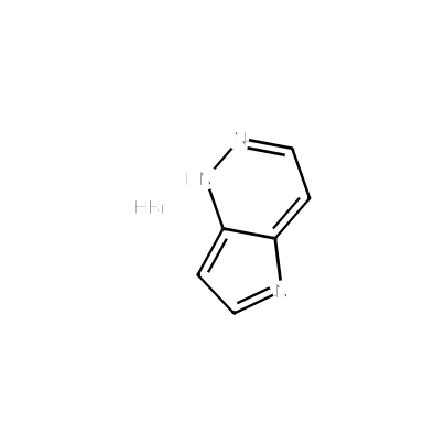 Br.c1cc2nccc-2[nH]n1